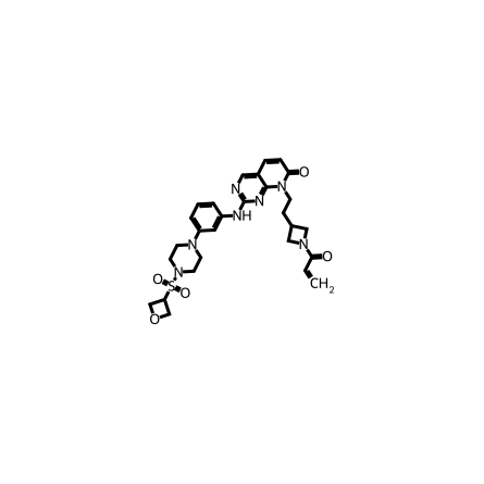 C=CC(=O)N1CC(CCn2c(=O)ccc3cnc(Nc4cccc(N5CCN(S(=O)(=O)C6COC6)CC5)c4)nc32)C1